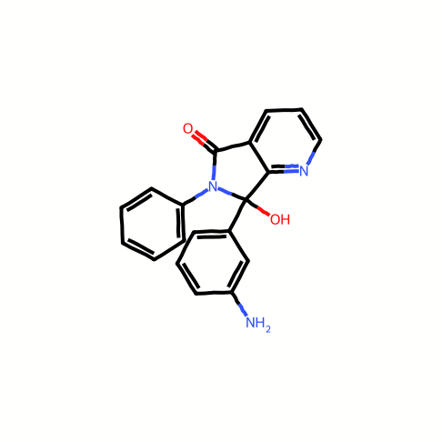 Nc1cccc(C2(O)c3ncccc3C(=O)N2c2ccccc2)c1